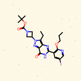 CCCOc1ncc(I)cc1-c1nc2c(CC)n(C3CN(C(=O)OC(C)(C)C)C3)nc2c(=O)[nH]1